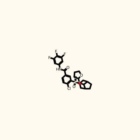 O=C(Nc1cc(F)c(F)c(F)c1)c1ccc(Cl)c(S(=O)(=O)C2CC3CCC(C2)C3OC2CCCO2)c1